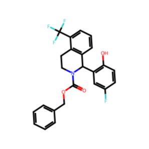 O=C(OCc1ccccc1)N1CCc2c(cccc2C(F)(F)F)C1c1cc(F)ccc1O